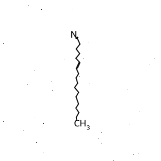 CCCCCCCCCCCC=CCCCCC#N